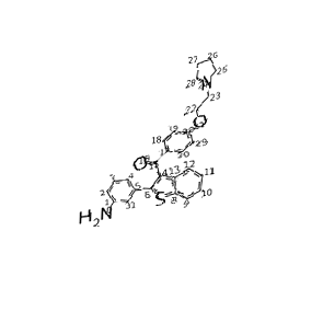 Nc1cccc(-c2sc3ccccc3c2C(=O)c2ccc(OCCN3CCCC3)cc2)c1